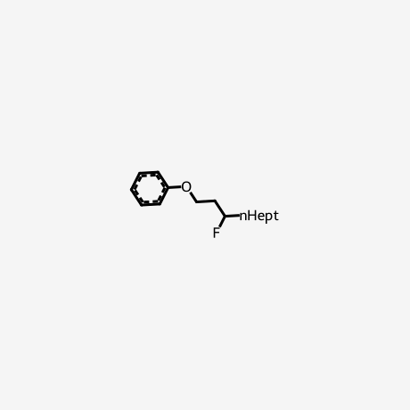 CCCCCCCC(F)CCOc1ccccc1